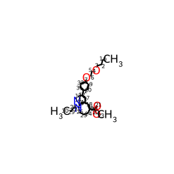 CCCCOCCOc1ccc(-c2cnc3c(c2)C=C(C(=O)OC)CCCN3CCC)cc1